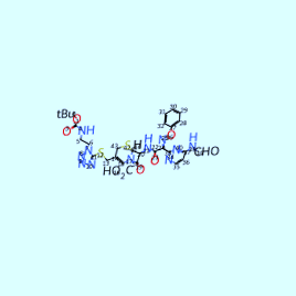 CC(C)(C)OC(=O)NCCn1nnnc1SCC1=C(C(=O)O)N2C(=O)C(NC(=O)C(=NOc3ccccc3)c3nccc(NC=O)n3)[C@@H]2SC1